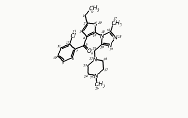 CCc1cc(C(=O)c2ccccc2Cl)c(-n2c(C)nnc2CN2CCN(C)CC2)s1